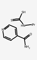 CC(C)NC(=S)S.NC(=O)c1ccncc1